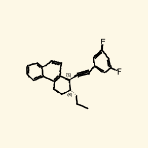 CCC[C@@H]1CCc2c(ccc3ccccc23)[C@H]1C#Cc1cc(F)cc(F)c1